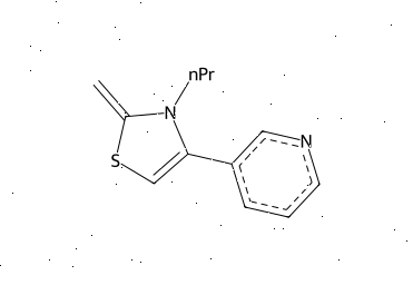 C=C1SC=C(c2cccnc2)N1CCC